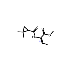 C/C=C(/NC(=O)C1CC1(C)C)C(=O)OC